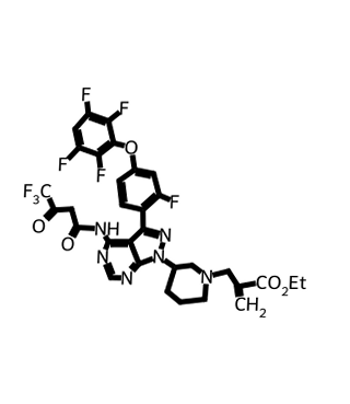 C=C(CN1CCCC(n2nc(-c3ccc(Oc4c(F)c(F)cc(F)c4F)cc3F)c3c(NC(=O)CC(=O)C(F)(F)F)ncnc32)C1)C(=O)OCC